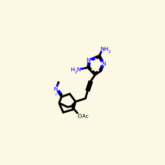 C/N=C1\CC2(CC#Cc3cnc(N)nc3N)CCC1CC2OC(C)=O